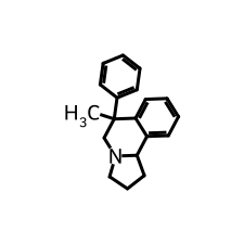 CC1(c2ccccc2)CN2CCCC2c2ccccc21